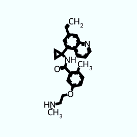 C=Cc1cc(C2(NC(=O)c3cc(OCCNC)ccc3C)CC2)c2cccnc2c1